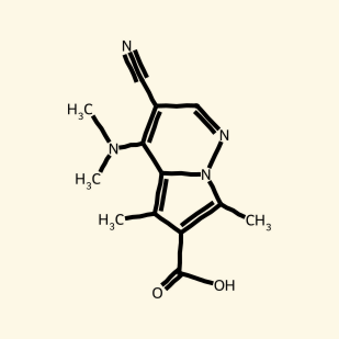 Cc1c(C(=O)O)c(C)n2ncc(C#N)c(N(C)C)c12